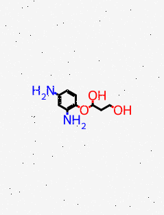 Nc1ccc(OC(O)CCO)c(N)c1